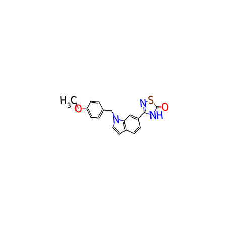 COc1ccc(Cn2ccc3ccc(-c4nsc(=O)[nH]4)cc32)cc1